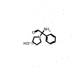 NC(C=O)(c1ccccc1)N1CC[C@H](O)C1